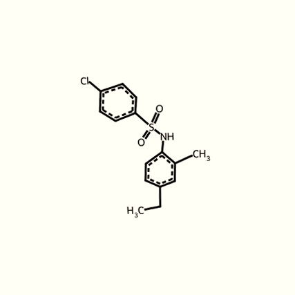 CCc1ccc(NS(=O)(=O)c2ccc(Cl)cc2)c(C)c1